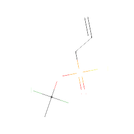 C=CCP(=O)(S)OC(C)(Cl)Cl